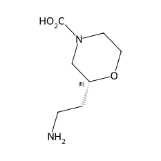 NCC[C@@H]1CN(C(=O)O)CCO1